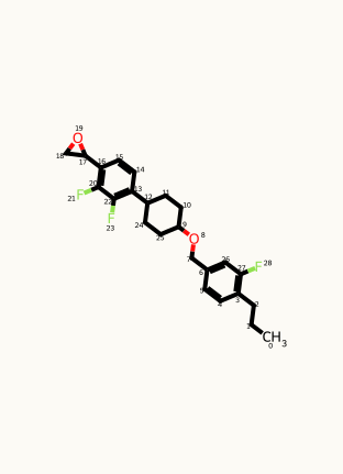 CCCc1ccc(COC2CCC(c3ccc(C4CO4)c(F)c3F)CC2)cc1F